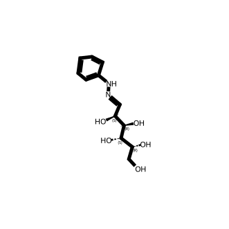 OC[C@@H](O)[C@H](O)[C@H](O)[C@@H](O)C=NNc1ccccc1